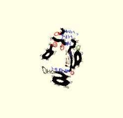 CC(N)C(=O)NC(C(=O)N1CCCC1/C=C/[C@@](C)(Cc1cccc(Cl)c1)C(=O)NC(C=O)Cc1ccccc1)C(C)OCc1ccccc1